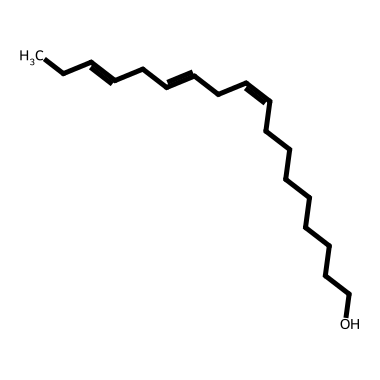 CCC=CCC=CC/C=C\CCCCCCCCO